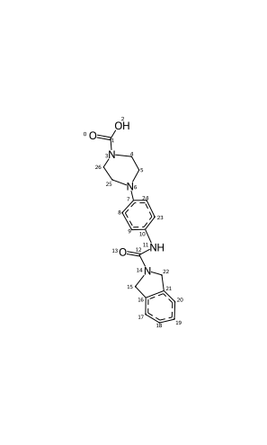 O=C(O)N1CCN(c2ccc(NC(=O)N3Cc4ccccc4C3)cc2)CC1